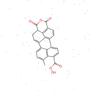 Cc1ccc2c3c4c5c(ccc4c4ccc(C(=O)OO)c1c24)C(=O)OC(=O)C5CC=3